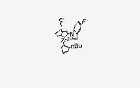 CCCCC1=[C]([Zr+2][CH]2C(n3ccc4ccccc43)=Cc3ccccc32)CC=C1.[F-].[F-]